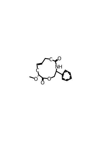 CO[C@@H]1C/C=C/CCC(=O)NC(c2ccccc2)COC1=O